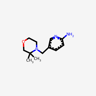 CC1(C)COCCN1Cc1ccc(N)nc1